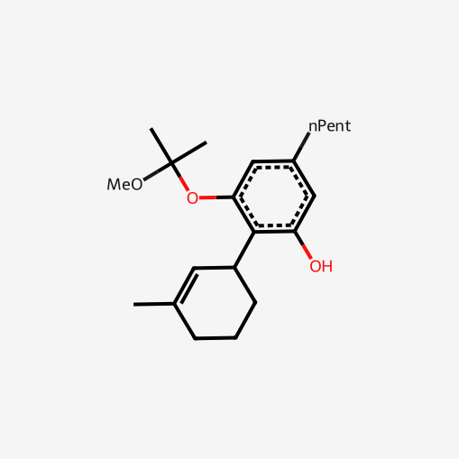 CCCCCc1cc(O)c(C2C=C(C)CCC2)c(OC(C)(C)OC)c1